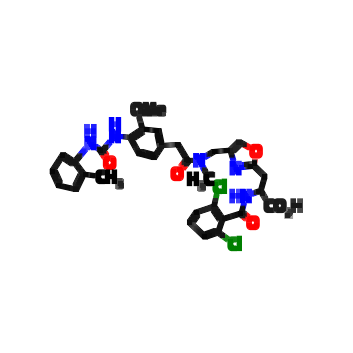 COc1cc(CC(=O)N(C)Cc2coc(CC(NC(=O)c3c(Cl)cccc3Cl)C(=O)O)n2)ccc1NC(=O)Nc1ccccc1C